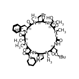 CC(C)C[C@H]1C(=O)NC(C(=O)N2CCCCC2)C(=O)N(C)[C@@H](C)C(=O)N(C)[C@@H](Cc2ccccc2)C(=O)N(C)[C@@H](CC(C)C)C(=O)N[C@@H]([C@@H](C)O)C(=O)N(C)CC(=O)N[C@@H](COC(C)(C)C)C(=O)N1C